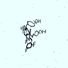 CC(C)(O)[C@H]1CC[C@H](Nc2ncc3nc(Cc4c(F)cc(F)cc4F)n([C@H]4CC[C@@H](O)CC4)c3n2)CC1